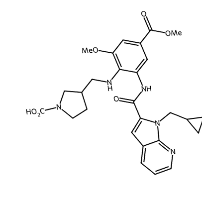 COC(=O)c1cc(NC(=O)c2cc3cccnc3n2CC2CC2)c(NCC2CCN(C(=O)O)C2)c(OC)c1